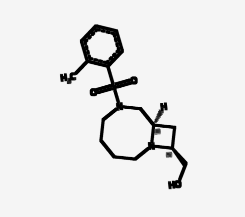 Cc1ccccc1S(=O)(=O)N1CCCCN2[C@H](CO)C[C@@H]2C1